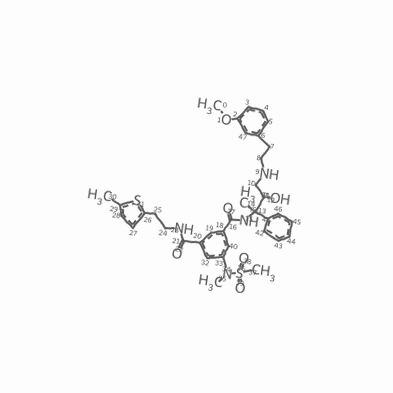 COc1cccc(CCNC[C@@H](O)[C@@](C)(NC(=O)c2cc(C(=O)NCCc3ccc(C)s3)cc(N(C)S(C)(=O)=O)c2)c2ccccc2)c1